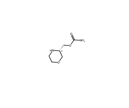 NC(=O)OC[C@@H]1COCCN1